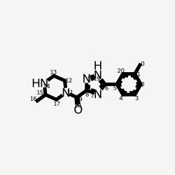 Cc1cccc(-c2nc(C(=O)N3CCNC(C)C3)n[nH]2)c1